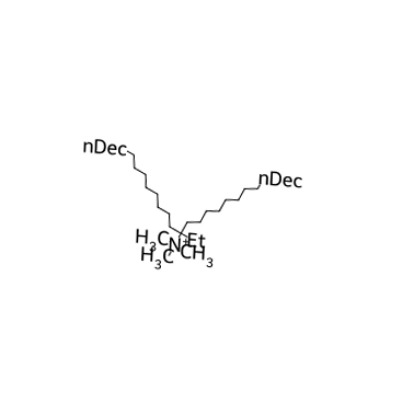 CCCCCCCCCCCCCCCCCCC(CC)(CCCCCCCCCCCCCCCCCC)[N+](C)(C)C